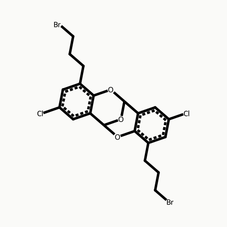 Clc1cc(CCCBr)c2c(c1)C1Oc3c(CCCBr)cc(Cl)cc3C(O2)O1